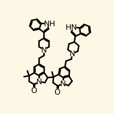 CC1(C)CC(=O)N2CC(C3(C)CC(=O)N4CCc5cc(CCN6CCC(c7c[nH]c8ccccc78)CC6)cc3c54)c3cc(CCN4CC=C(c5c[nH]c6ccccc56)CC4)cc1c32